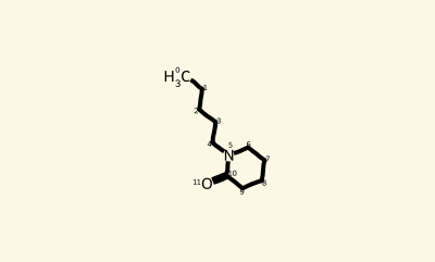 CCCCCN1CCCCC1=O